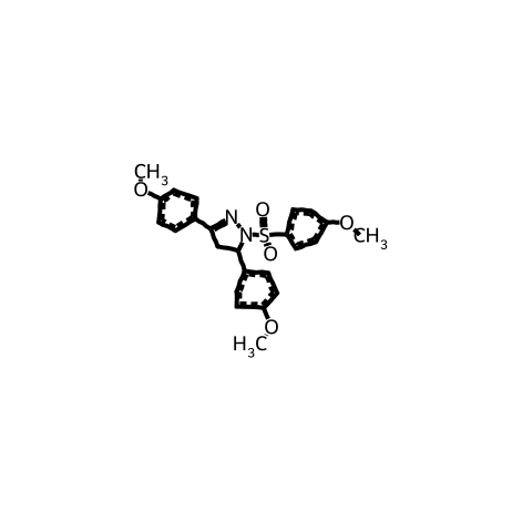 COc1ccc(C2=NN(S(=O)(=O)c3ccc(OC)cc3)C(c3ccc(OC)cc3)C2)cc1